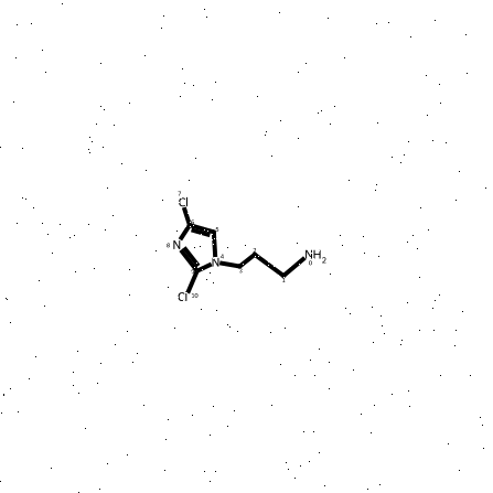 NCCCn1cc(Cl)nc1Cl